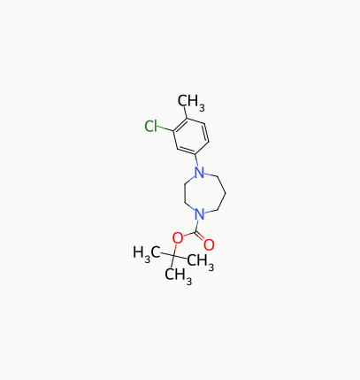 Cc1ccc(N2CCCN(C(=O)OC(C)(C)C)CC2)cc1Cl